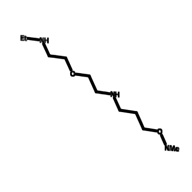 CCNCCOCCNCCCONC